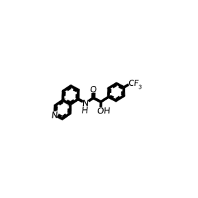 O=C(Nc1cccc2cnccc12)C(O)c1ccc(C(F)(F)F)cc1